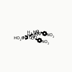 C[C@H](C(=O)N[C@H]1CCN(C(=O)O)C1)N(C(=O)OCc1ccc([N+](=O)[O-])cc1)C(N)=NC(=O)OCc1ccc([N+](=O)[O-])cc1